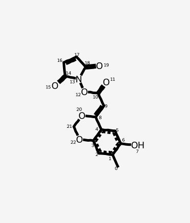 Cc1cc2c(cc1O)/C(=C/C(=O)ON1C(=O)C=CC1=O)OCO2